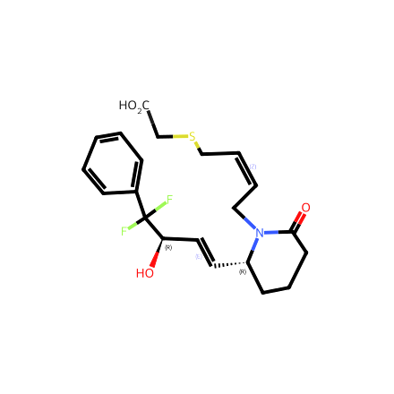 O=C(O)CSC/C=C\CN1C(=O)CCC[C@@H]1/C=C/[C@@H](O)C(F)(F)c1ccccc1